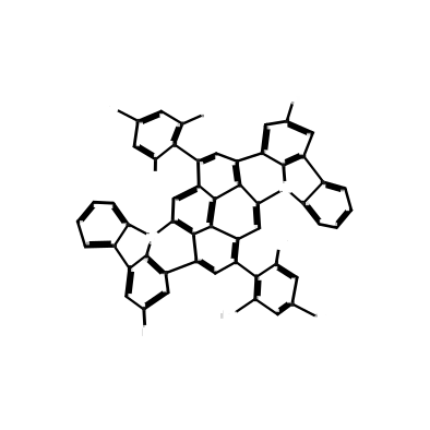 CC(C)c1cc(C(C)C)c(-c2cc3c4c(cc5c(-c6c(C(C)C)cc(C(C)C)cc6C(C)C)cc6c7c(cc2c4c57)B2c4ccccc4-c4cc(Br)cc-6c42)B2c4ccccc4-c4cc(Br)cc-3c42)c(C(C)C)c1